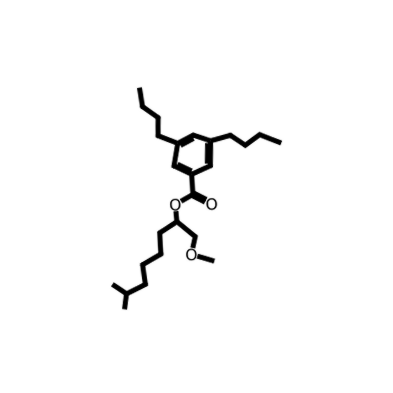 CCCCc1cc(CCCC)cc(C(=O)OC(CCCCC(C)C)COC)c1